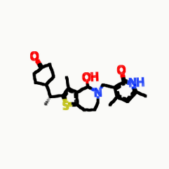 Cc1cc(C)c(CN2CCCc3sc([C@H](C)C4CCC(=O)CC4)c(C)c3C2O)c(=O)[nH]1